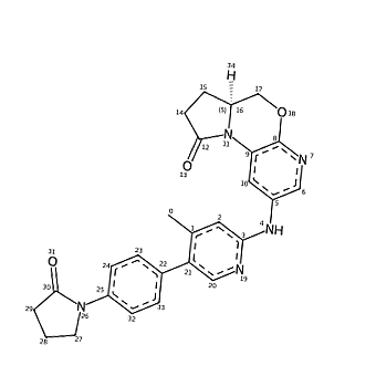 Cc1cc(Nc2cnc3c(c2)N2C(=O)CC[C@H]2CO3)ncc1-c1ccc(N2CCCC2=O)cc1